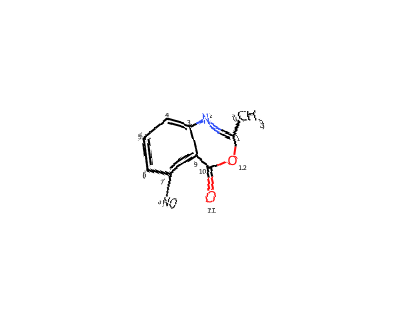 Cc1nc2cccc(N=O)c2c(=O)o1